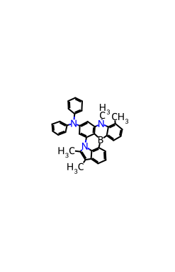 Cc1cccc2c1N(C)c1cc(N(c3ccccc3)c3ccccc3)cc3c1B2c1cccc2c(C)c(C)n-3c12